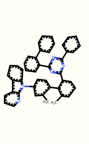 Cc1cc(-n2c3ccccc3c3cccnc32)ccc1-c1c(C)cccc1-c1nc(-c2ccccc2)nc(-c2ccccc2-c2ccccc2)n1